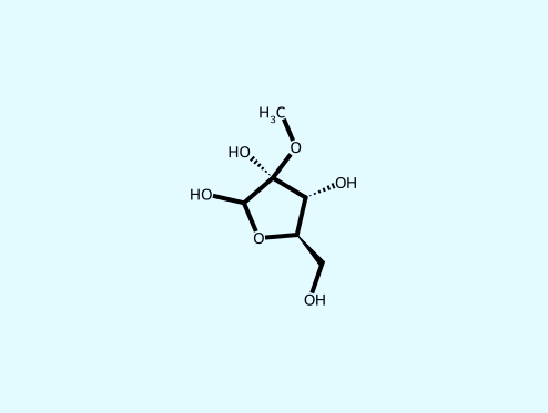 CO[C@]1(O)[C](O)O[C@H](CO)[C@H]1O